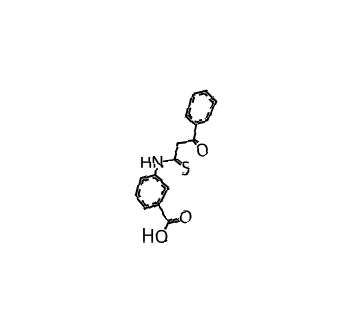 O=C(O)c1cccc(NC(=S)CC(=O)c2ccccc2)c1